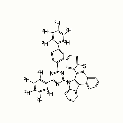 [2H]c1c([2H])c([2H])c(-c2ccc(-c3nc(-c4c([2H])c([2H])c([2H])c([2H])c4[2H])nc(-n4c5ccccc5c5c6ccccc6c6sc7ccccc7c6c54)n3)cc2)c([2H])c1[2H]